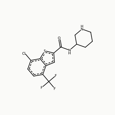 O=C(NC1CCCNC1)c1cc2c(C(F)(F)F)ccc(Cl)c2s1